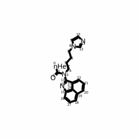 CCCCCCC(=O)N(CCCCn1ccnc1)C1=Nc2cccc3cccc1c23